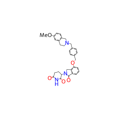 COc1ccc2c(c1)CCN(Cc1ccc(COc3cccc4c3CN(C3CCC(=O)NC3=O)C4=O)cc1)C2